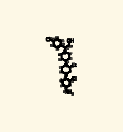 CCC1CN(c2ncc(N)cc2Cl)CCN1C1CCN(C(CO)c2ccc(Cl)cc2)CC1